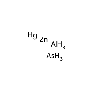 [AlH3].[AsH3].[Hg].[Zn]